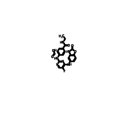 CCNC(=O)c1ccc(Nc2ncc(F)c(Nc3ccc4oc(=O)[nH]c4c3)n2)cc1.O=CO